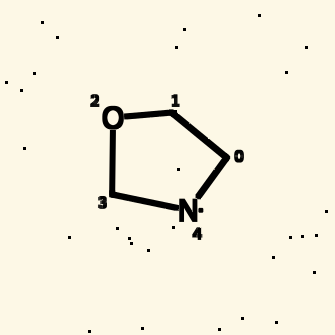 C1COC[N]1